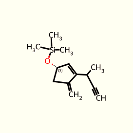 C#CC(C)C1=C[C@@H](O[Si](C)(C)C)CC1=C